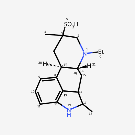 CCN1CC(C)(S(=O)(=O)O)C[C@@H]2c3cccc4c3C(C[C@H]21)C(C)N4